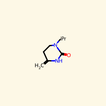 C=C1CCN(C(C)C)C(=O)N1